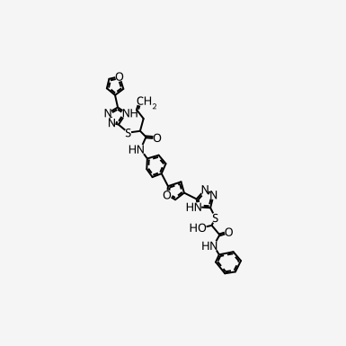 C=CCC(Sc1nnc(-c2ccoc2)[nH]1)C(=O)Nc1ccc(-c2cc(-c3nnc(SC(O)C(=O)Nc4ccccc4)[nH]3)co2)cc1